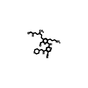 CN(CCNC=O)CCc1cc(CCCN)c(Nc2cc(NCC3CCSCC3)c(C#N)cn2)nc1C=O